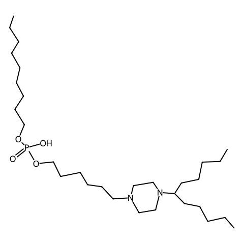 CCCCCCCCCOP(=O)(O)OCCCCCCN1CCN(C(CCCCC)CCCCC)CC1